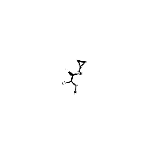 CCC(CO)C(=O)NC1CC1